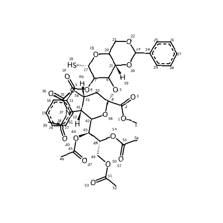 COC(=O)[C@]1(OC2C(OC(=O)c3ccccc3)[C@H](S)OC3COC(c4ccccc4)O[C@@H]32)C[C@H]2OC(=O)N(C(C)=O)[C@H]2C([C@H](OC(C)=O)[C@@H](COC(C)=O)OC(C)=O)O1